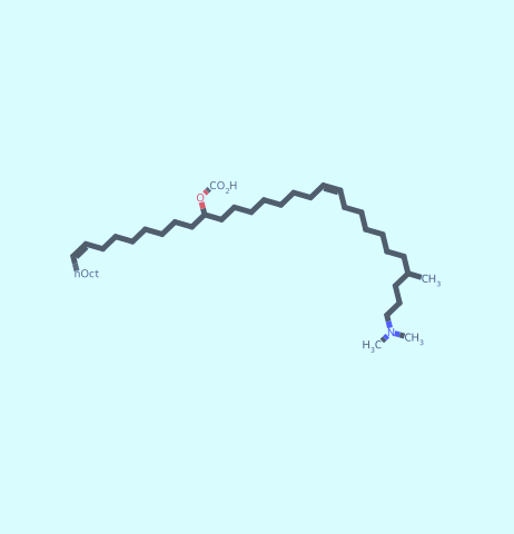 CCCCCCCC/C=C\CCCCCCCC(CCCCCCC/C=C\CCCCCCC(C)CCCN(C)C)OC(=O)O